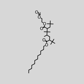 CCCCCCCCCCCCOC(=O)C(CC(C)C(C)(C)C(CC(C)(C)C)C(=O)OCCON=O)C(C)(C)C